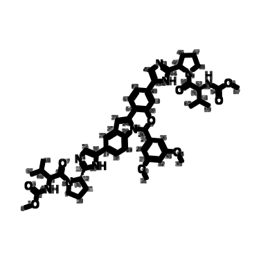 COC(=O)NC(C(=O)N1CCC[C@H]1c1ncc(-c2ccc3c(c2)cc2n3C(c3cc(OC)cc(OC)c3)Oc3cc(-c4cnc(C5CCCN5C(=O)[C@@H](NC(=O)OC)C(C)C)[nH]4)ccc3-2)[nH]1)C(C)C